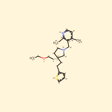 CCOCC[C@]1(CCc2cccs2)CCN(Cc2c(C)ccnc2C)C1